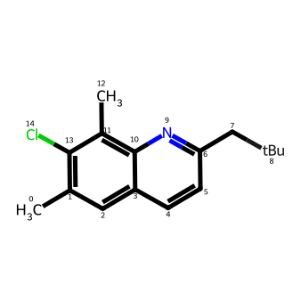 Cc1cc2ccc(CC(C)(C)C)nc2c(C)c1Cl